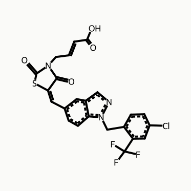 O=C(O)C=CCN1C(=O)SC(=Cc2ccc3c(cnn3Cc3ccc(Cl)cc3C(F)(F)F)c2)C1=O